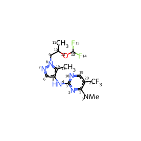 CNc1nc(Nc2cnn(CC(C)OC(F)F)c2C)ncc1C(F)(F)F